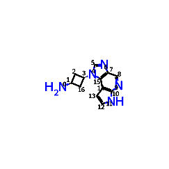 N[C@H]1C[C@H](n2cnc3cnc4[nH]ccc4c32)C1